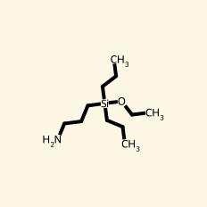 CCC[Si](CCC)(CCCN)OCC